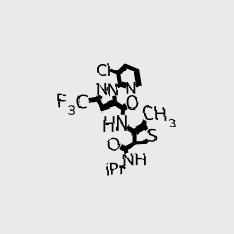 CC1=C(NC(=O)c2cc(C(F)(F)F)nn2-c2ncccc2Cl)C(C(=O)NC(C)C)CS1